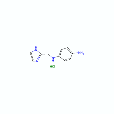 Cl.Nc1ccc(NCc2ncc[nH]2)cc1